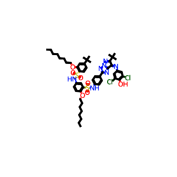 CCCCCCCCOc1cc(C(C)(C)C)ccc1S(=O)(=O)Nc1ccc(OCCCCCCCC)c(S(=O)(=O)Nc2ccc(-c3nc4n(n3)N=C(C(C)(C)C)/C4=N/c3cc(Cl)c(O)c(Cl)c3)cc2)c1